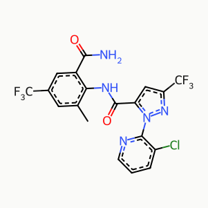 Cc1cc(C(F)(F)F)cc(C(N)=O)c1NC(=O)c1cc(C(F)(F)F)nn1-c1ncccc1Cl